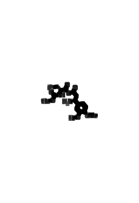 CCOc1cc([C@@H](N)CC(=O)OC(=O)[C@@H](CC(C)C)NC(=O)OC(C)(C)C)ccc1OC